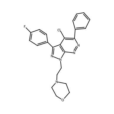 Fc1ccc(-c2nn(CCN3CCOCC3)c3nnc(-c4ccccc4)c(Cl)c23)cc1